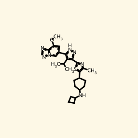 COc1cc(-c2[nH]nc(-c3nc(C)c(C4CCC(NC5CCC5)CC4)s3)c2C(C)C)cn2ncnc12